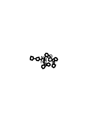 C1=CC2c3c(cccc3-c3nc(-c4ccc(-c5ccccc5)cc4)nc(-n4c5ccccc5c5ccccc54)n3)OC2c2c1n(-c1ccccc1)c1ccccc21